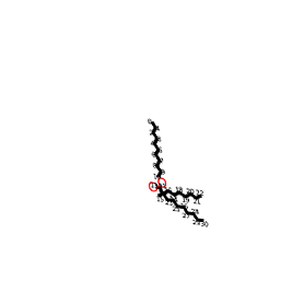 CCCCCCCCCCCOC(=O)C(C)(CCCCCCC)CCCCCCCC